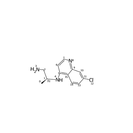 C[C@@H](CN)Nc1ccnc2cc(Cl)ccc12